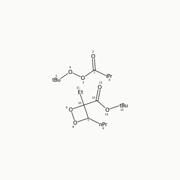 CC(C)C(=O)OOC(C)(C)C.CCCC1OOC1(CC)C(=O)OC(C)(C)C